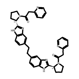 O=C(Cc1ccccn1)N1CCC[C@H]1c1nc2cc(CCc3ccc4[nH]c([C@@H]5CCCN5C(=O)Cc5ccccn5)nc4c3)ccc2[nH]1